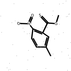 COC(=S)c1cc(C)ccc1[N+](=O)[O-]